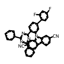 N#Cc1ccc2c3ccc(C#N)cc3n(-c3cc(-c4ccc(F)cc4F)ccc3-c3nc(-c4ccccc4)nc(-c4ccccc4)n3)c2c1